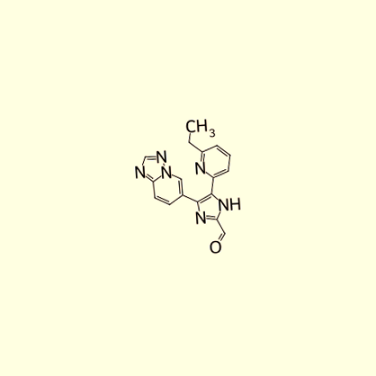 CCc1cccc(-c2[nH]c(C=O)nc2-c2ccc3ncnn3c2)n1